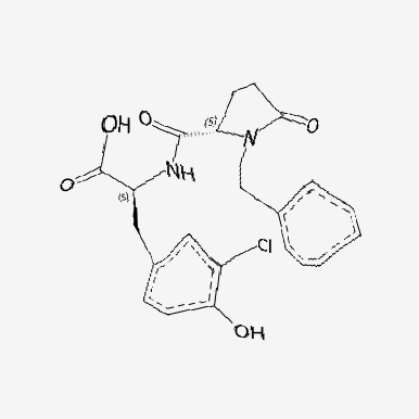 O=C(O)[C@H](Cc1ccc(O)c(Cl)c1)NC(=O)[C@@H]1CCC(=O)N1Cc1ccccc1